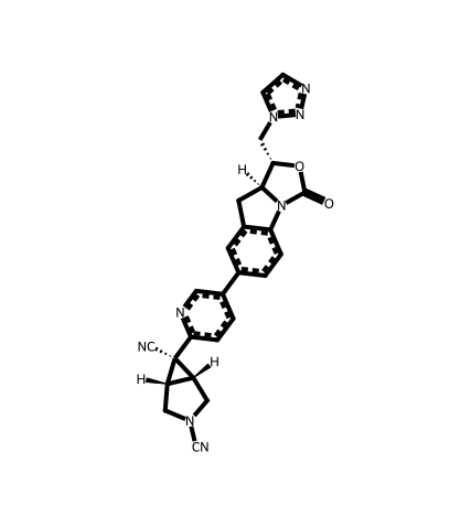 N#CN1C[C@@H]2[C@H](C1)[C@@]2(C#N)c1ccc(-c2ccc3c(c2)C[C@H]2[C@H](Cn4ccnn4)OC(=O)N32)cn1